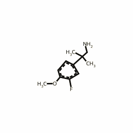 COc1ccc(C(C)(C)CN)cc1F